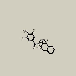 CC1(C)[C@H]2Cc3ccccc3[C@]1(C)CCN2C(=O)c1cc(Cl)c(N)c(Cl)c1